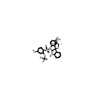 COc1ccc(S(=O)(=O)N2C(=O)C(O[C@@H](C)C(=O)O)(c3ccccc3OC)c3cc(Cl)ccc32)c(OC(F)(F)F)c1